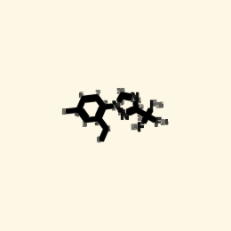 CCc1cc(C)ccc1-n1cnc(C(F)(F)F)n1